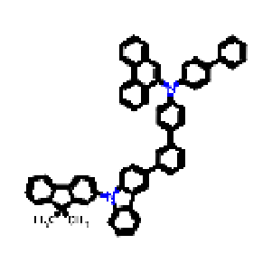 CC1(C)c2ccccc2-c2ccc(-n3c4ccccc4c4cc(-c5cccc(-c6ccc(N(c7ccc(-c8ccccc8)cc7)c7cc8ccccc8c8ccccc78)cc6)c5)ccc43)cc21